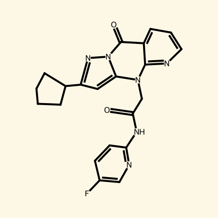 O=C(Cn1c2ncccc2c(=O)n2nc(C3CCCC3)cc12)Nc1ccc(F)cn1